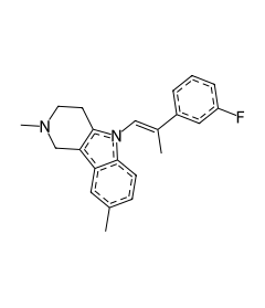 CC(=Cn1c2c(c3cc(C)ccc31)CN(C)CC2)c1cccc(F)c1